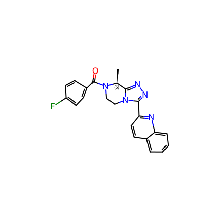 C[C@H]1c2nnc(-c3ccc4ccccc4n3)n2CCN1C(=O)c1ccc(F)cc1